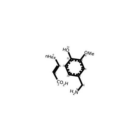 CCCCCCC=CC(=O)O.COc1cc(CN)ccc1O